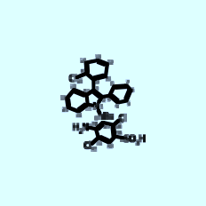 CCCCn1c(-c2ccccc2)c(-c2ccccc2Cl)c2ccccc21.Nc1cc(Cl)c(S(=O)(=O)O)cc1Cl